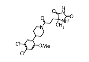 COc1cc(Cl)c(Cl)cc1C1CCN(C(=O)CC[C@@]2(C)NC(=O)NC2=O)CC1